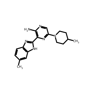 Cc1ccc2nc(-c3nc(N4CCC(C)CC4)cnc3N)[nH]c2c1